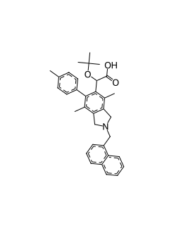 Cc1ccc(-c2c(C)c3c(c(C)c2C(OC(C)(C)C)C(=O)O)CN(Cc2cccc4ccccc24)C3)cc1